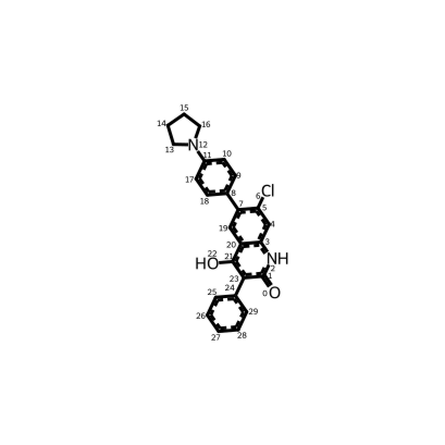 O=c1[nH]c2cc(Cl)c(-c3ccc(N4CCCC4)cc3)cc2c(O)c1-c1ccccc1